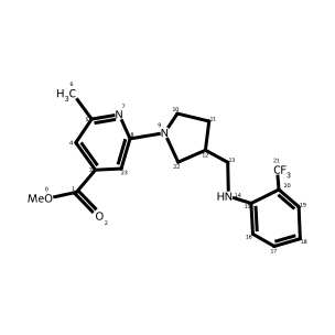 COC(=O)c1cc(C)nc(N2CCC(CNc3ccccc3C(F)(F)F)C2)c1